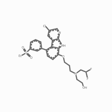 CCS(=O)(=O)c1cccc(-c2ccc(OCCCN(CCO)CC(F)F)c3[nH]c4ncc(Cl)cc4c23)c1